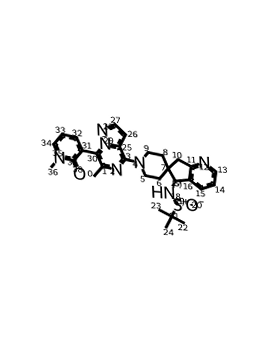 Cc1nc(N2CCC3(CC2)Cc2ncccc2[C@H]3N[S@+]([O-])C(C)(C)C)c2ccnn2c1-c1cccn(C)c1=O